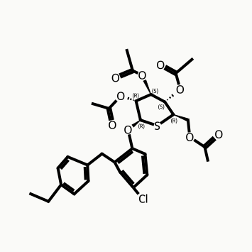 CCc1ccc(Cc2cc(Cl)ccc2O[C@@H]2S[C@H](COC(C)=O)[C@@H](OC(C)=O)[C@H](OC(C)=O)[C@H]2OC(C)=O)cc1